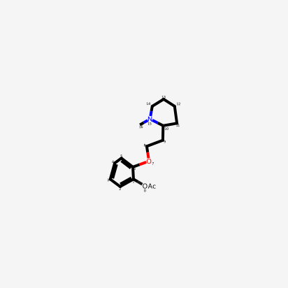 CC(=O)Oc1ccccc1OCCC1CCCCN1C